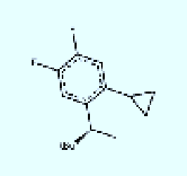 C[C@H](c1cc(F)c(F)cc1C1CC1)C(C)(C)C